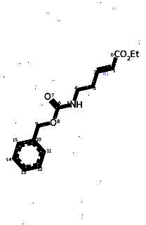 CCOC(=O)/C=C/CCNC(=O)OCc1ccccc1